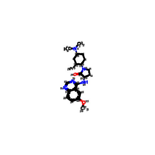 CCC[C@H]1C[C@H](N(C)C)CC[C@@H]1N1CC[C@H](Nc2ncnc3ccc(OC(F)(F)F)cc23)C1=O